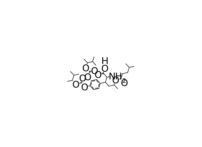 CC(C)CCC(=O)OC(C)CC(c1ccc(OC(=O)OC(C)C(C)C)c(OC(=O)OC(C)C(C)C)c1)[C@H](N)C(=O)O